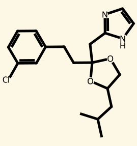 CC(C)CC1COC(CCc2cccc(Cl)c2)(Cc2ncc[nH]2)O1